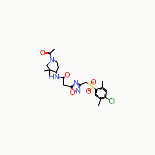 CC(=O)N1CCC(NC(=O)Cc2nc(CS(=O)(=O)c3cc(C)c(Cl)cc3C)no2)C(C)(C)C1